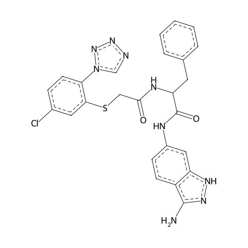 Nc1n[nH]c2cc(NC(=O)C(Cc3ccccc3)NC(=O)CSc3cc(Cl)ccc3-n3cnnn3)ccc12